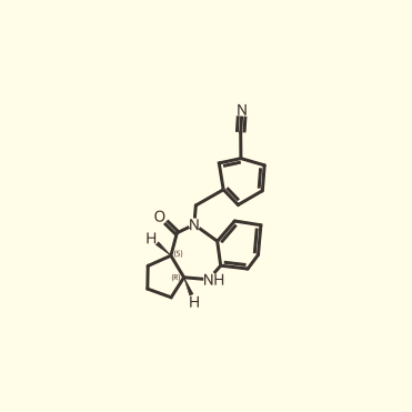 N#Cc1cccc(CN2C(=O)[C@H]3CCC[C@H]3Nc3ccccc32)c1